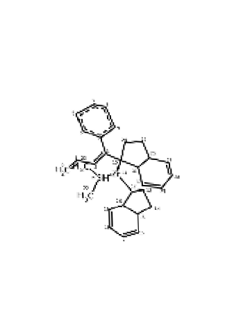 C=CC=C(c1ccccc1)[C]1([Zr]([CH]2CCC3C=CC=CC32)[SiH](C)C)CCC2C=CC=CC21